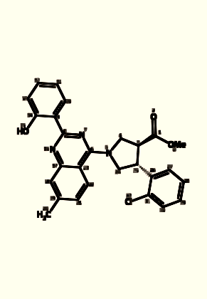 COC(=O)[C@@H]1CN(c2nc(-c3ccccc3O)nc3cc(C)ccc23)C[C@H]1c1ccccc1Cl